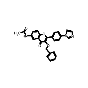 CC(=O)Nc1ccc2oc(-c3ccc(-n4ccnc4)cc3)c(OCc3ccccc3)c(=O)c2c1